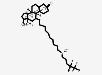 C[C@]12CCC(=O)CC1CC[C@@H]1[C@H]2C(CCCCCCCCCC[S+]([O-])CCCC(F)(F)C(F)(F)F)C[C@]2(C)C(O)CC[C@@H]12